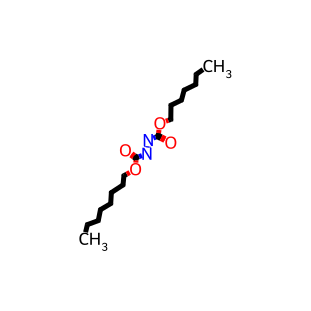 CCCCCCCCOC(=O)N=NC(=O)OCCCCCCC